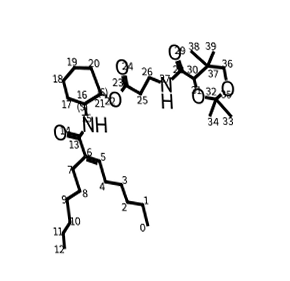 CCCCCC=C(CCCCCC)C(=O)N[C@H]1CCCC[C@@H]1OC(=O)CCNC(=O)C1OC(C)(C)OCC1(C)C